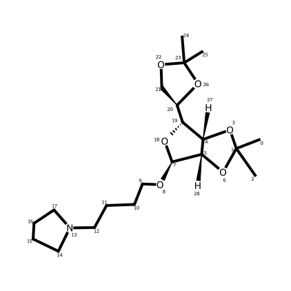 CC1(C)O[C@@H]2[C@H](O1)[C@@H](OCCCCN1CCCC1)O[C@@H]2[C@H]1COC(C)(C)O1